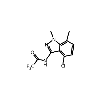 Cc1ccc(Cl)c2c(NC(=O)C(F)(F)F)nn(C)c12